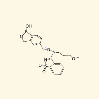 COCCCN(/N=C/c1ccc2c(c1)COB2O)C1=NS(=O)(=O)c2ccccc21